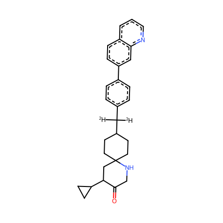 [2H]C([2H])(c1ccc(-c2ccc3cccnc3c2)cc1)C1CCC2(CC1)CC(C1CC1)C(=O)CN2